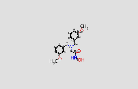 COc1cccc(CN(CC(=O)NO)Cc2cccc(OC)c2)c1